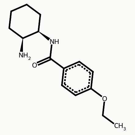 CCOc1ccc(C(=O)N[C@@H]2CCCC[C@@H]2N)cc1